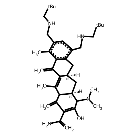 C=C(N)C1=C(O)C(N(C)C)[C@@H]2C[C@@H]3Cc4c(CNCC(C)(C)C)cc(CNCC(C)(C)C)c(C)c4C(=C)C3=C(C)C2C1=C